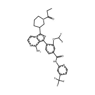 CCC(=O)N1CCCC(c2nc(-c3ccc(C(=O)Nc4cc(C(F)(F)F)ccn4)cc3OC(F)F)c3c(N)nccn23)C1